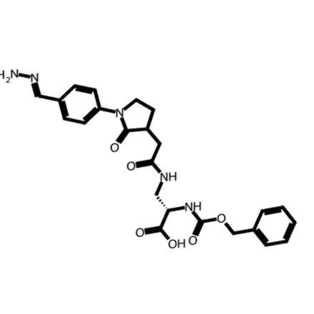 NN=Cc1ccc(N2CCC(CC(=O)NC[C@H](NC(=O)OCc3ccccc3)C(=O)O)C2=O)cc1